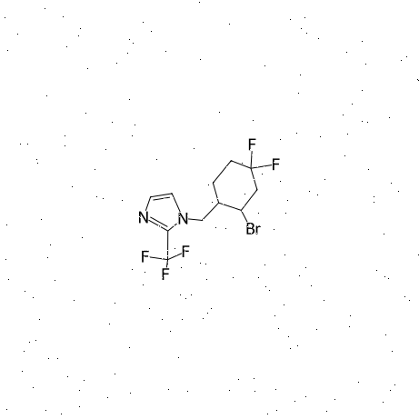 FC1(F)CCC(Cn2ccnc2C(F)(F)F)C(Br)C1